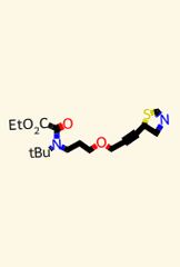 CCOC(=O)C(=O)N(CCCOCC#CC1CN=CS1)C(C)(C)C